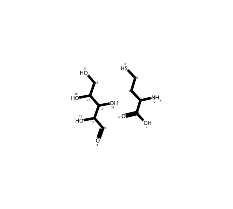 NC(CCS)C(=O)O.O=CC(O)C(O)C(O)CO